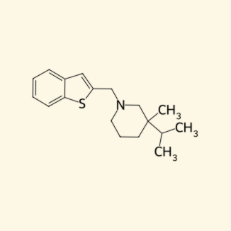 CC(C)C1(C)CCCN(Cc2cc3ccccc3s2)C1